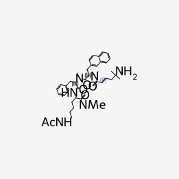 CNC(=O)C(CCCCNC(C)=O)NC(=O)[C@@H](Cc1ccccc1)N(C)C(=O)[C@@H](Cc1ccc2ccccc2c1)N(C)C(=O)/C=C/CC(C)(C)N